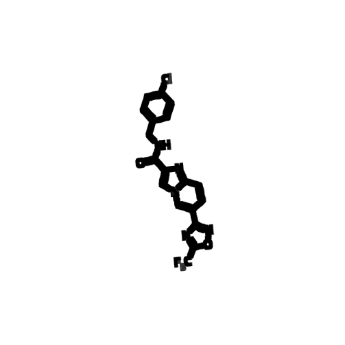 O=C(NCc1ccc(Cl)cc1)c1cn2cc(-c3noc(C(F)(F)F)n3)ccc2n1